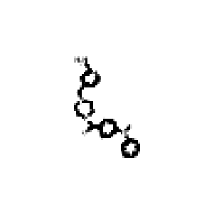 CN(c1ccccc1)c1ccc(C(=O)N2CCN(Cc3ccnc(N)c3)CC2)cc1